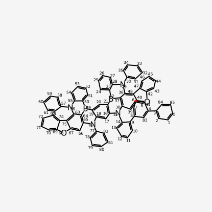 c1ccc(-c2cccc(-c3ccccc3N3c4cc5c(cc4B4c6ccccc6N(c6ccccc6)c6c4c3cc3oc4ccccc4c63)B3c4ccccc4N(c4ccccc4)c4c3c(cc3oc6ccccc6c43)N5c3ccccc3)c2)cc1